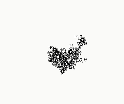 CC[C@H](C)[C@H](NC(=O)[C@H](CO)NC(=O)[C@H](Cc1ccc(O)cc1)NC(=O)[C@H](CC(=O)O)NC(=O)[C@H](CO)NC(=O)[C@@H](NC(=O)[C@H](Cc1ccccc1)NC(=O)[C@@H](NC(=O)CNC(=O)[C@H](CCC(=O)O)NC(=O)CC(=O)NCCCN1C(=O)c2ccc(C)cc2C1=O)[C@@H](C)O)[C@@H](C)O)C(=O)N[C@@H](Cc1ccc(O)cc1)C(=O)N[C@@H](CC(C)C)C(=O)N[C@@H](CC(=O)O)C(=O)N[C@H](C)CCCCN